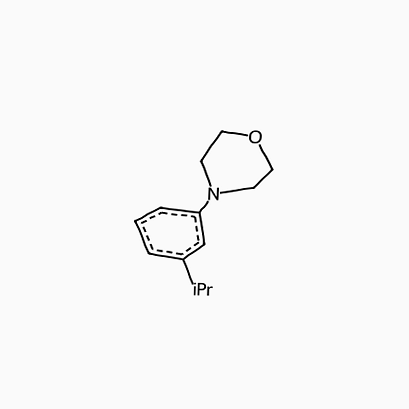 [CH2]C(C)c1cccc(N2CCOCC2)c1